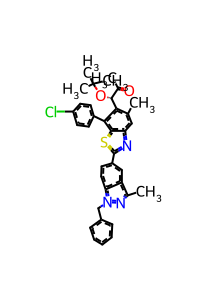 CC(=O)[C@@H](OC(C)(C)C)c1c(C)cc2nc(-c3ccc4c(c3)c(C)nn4Cc3ccccc3)sc2c1-c1ccc(Cl)cc1